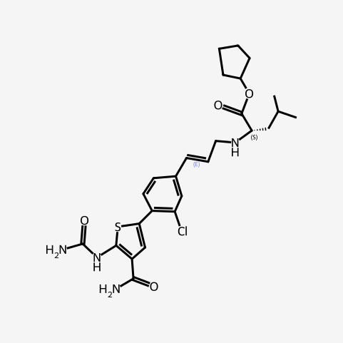 CC(C)C[C@H](NC/C=C/c1ccc(-c2cc(C(N)=O)c(NC(N)=O)s2)c(Cl)c1)C(=O)OC1CCCC1